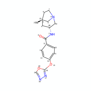 O=C(N[C@@H]1C[C@@H]2CCN(C2)C1)c1ccc(Oc2nnco2)cc1